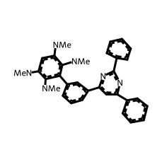 CNc1cc(NC)c(NC)c(-c2cccc(-c3cc(-c4ccccc4)nc(-c4ccccc4)n3)c2)c1NC